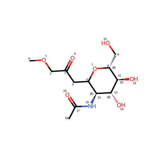 COCC(=O)CC1O[C@H](CO)[C@@H](O)[C@H](O)[C@H]1NC(C)=O